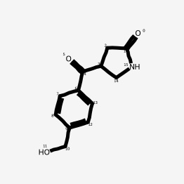 O=C1CC(C(=O)c2ccc(CO)cc2)CN1